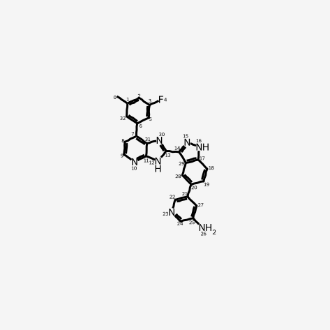 Cc1cc(F)cc(-c2ccnc3[nH]c(-c4n[nH]c5ccc(-c6cncc(N)c6)cc45)nc23)c1